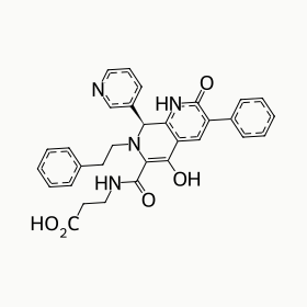 O=C(O)CCNC(=O)C1=C(O)c2cc(-c3ccccc3)c(=O)[nH]c2[C@H](c2cccnc2)N1CCc1ccccc1